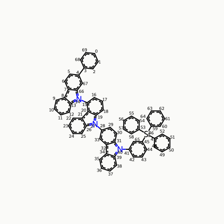 c1ccc(-c2ccc3c4ccccc4n(-c4cccc5c4c4ccccc4n5-c4ccc5c(c4)c4ccccc4n5-c4cccc([Si](c5ccccc5)(c5ccccc5)c5ccccc5)c4)c3c2)cc1